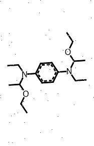 CCOC(C)N(CC)c1ccc(N(CC)C(C)OCC)cc1